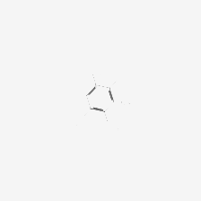 O=C(O)c1cc(C(F)(F)F)c(C(=O)O)cc1C(F)(F)F.[Na]